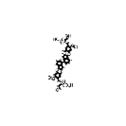 CCOc1cc(O[C@H]2CCc3c(-c4cccc5c4CC[C@@H]5Oc4cc(OCC)c(CN[C@@H](CCO)C(=O)O)cc4Cl)cccc32)c(Cl)cc1CN[C@@H](CO)C(=O)O